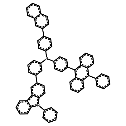 c1ccc(-c2c3ccccc3c(-c3ccc(N(c4ccc(-c5ccc6ccccc6c5)cc4)c4cccc(-c5ccc6c(c5)c5ccccc5n6-c5ccccc5)c4)cc3)c3ccccc23)cc1